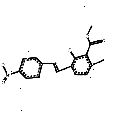 COC(=O)c1c(C)ccc(/C=C/c2ccc([N+](=O)[O-])cc2)c1F